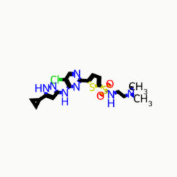 CN(C)CCNS(=O)(=O)c1ccc(-c2ncc(Cl)c(Nc3cc(C4CC4)[nH]n3)n2)s1